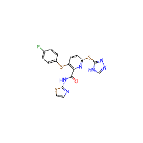 O=C(Nc1nccs1)c1nc(Sc2nnc[nH]2)ccc1Sc1ccc(F)cc1